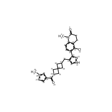 CN1C(=O)CCc2c1ccc(-c1n[nH]cc1CC1CC3(C1)CN(C(=O)c1cnn(C)c1)C3)c2Cl